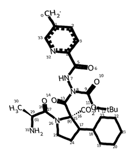 [CH2]c1ccc(C(=O)NN(C(=O)OC(C)(C)C)C(=O)[C@@]2(C(=O)O)C(C3CCCCC3)CCN2C(=O)[C@H](C)N)nc1